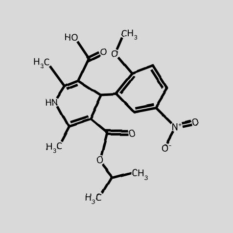 COc1ccc([N+](=O)[O-])cc1C1C(C(=O)O)=C(C)NC(C)=C1C(=O)OC(C)C